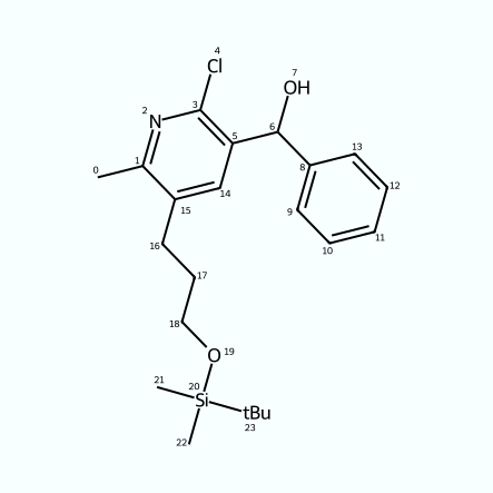 Cc1nc(Cl)c(C(O)c2ccccc2)cc1CCCO[Si](C)(C)C(C)(C)C